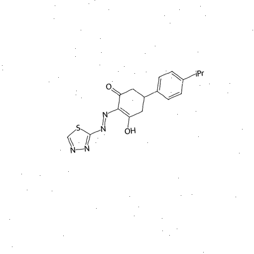 CC(C)c1ccc(C2CC(=O)C(N=Nc3nncs3)=C(O)C2)cc1